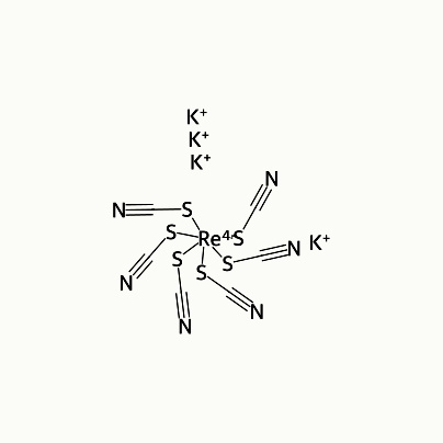 N#C[S][Re-4]([S]C#N)([S]C#N)([S]C#N)([S]C#N)[S]C#N.[K+].[K+].[K+].[K+]